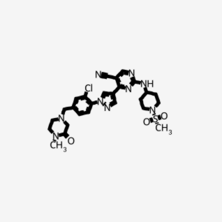 CN1CCN(Cc2ccc(-n3cc(-c4nc(NC5CCN(S(C)(=O)=O)CC5)ncc4C#N)cn3)c(Cl)c2)CC1=O